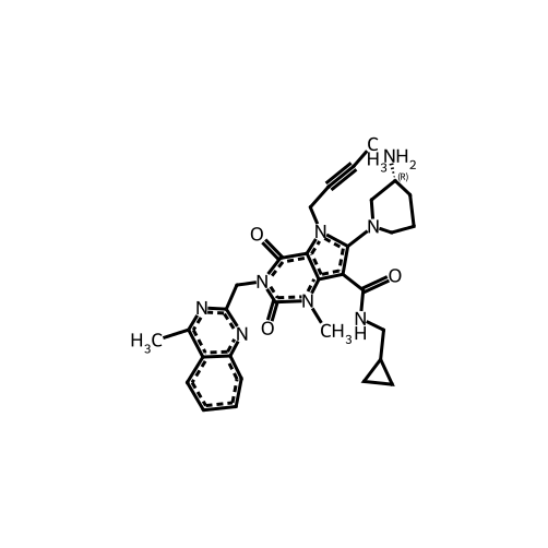 CC#CCn1c(N2CCC[C@@H](N)C2)c(C(=O)NCC2CC2)c2c1c(=O)n(Cc1nc(C)c3ccccc3n1)c(=O)n2C